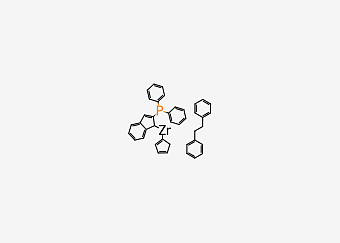 C1=CC[C]([Zr][CH]2C(P(c3ccccc3)c3ccccc3)=Cc3ccccc32)=C1.c1ccc(CCc2ccccc2)cc1